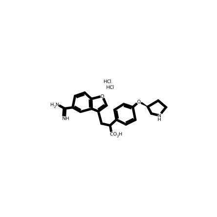 Cl.Cl.N=C(N)c1ccc2occ(CC(C(=O)O)c3ccc(O[C@H]4CCNC4)cc3)c2c1